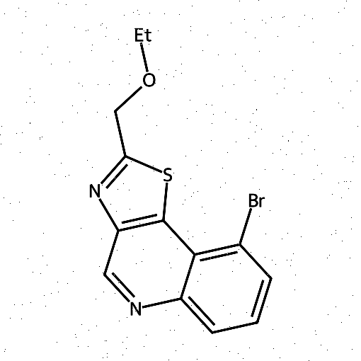 CCOCc1nc2cnc3cccc(Br)c3c2s1